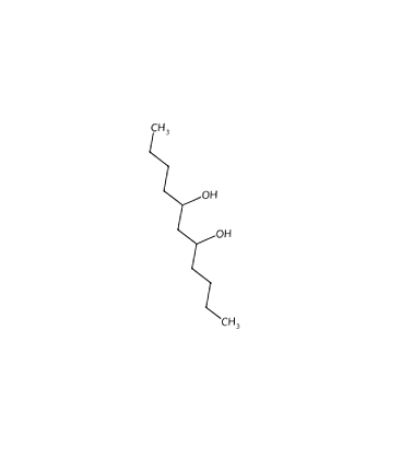 CCCCC(O)CC(O)CCCC